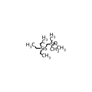 CC[Si](CC)(CC)SC[Si](C)(C)OC